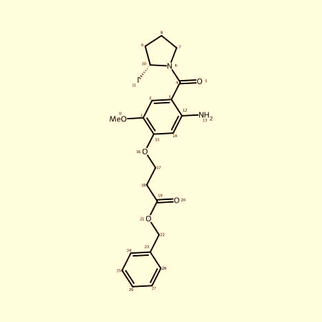 COc1cc(C(=O)N2CCC[C@H]2I)c(N)cc1OCCC(=O)OCc1ccccc1